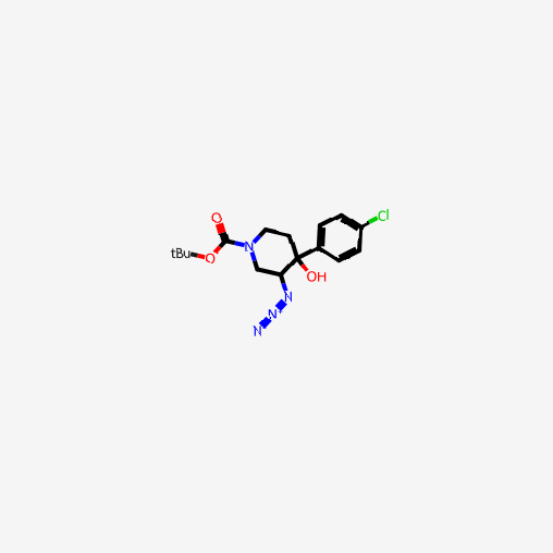 CC(C)(C)OC(=O)N1CCC(O)(c2ccc(Cl)cc2)C(N=[N+]=[N-])C1